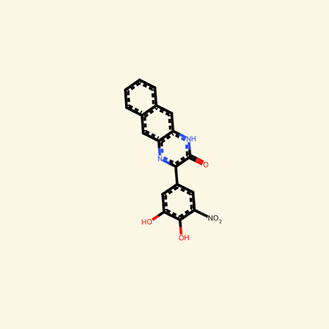 O=c1[nH]c2cc3ccccc3cc2nc1-c1cc(O)c(O)c([N+](=O)[O-])c1